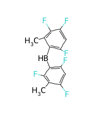 Cc1c(F)cc(F)c(Bc2c(F)cc(F)c(F)c2C)c1F